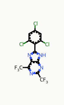 FC(F)(F)c1nc(C(F)(F)F)c2nc(-c3c(Cl)cc(Cl)cc3Cl)[nH]c2n1